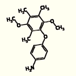 COc1c(C)c(C)c(OC)c(Oc2ccc(N)cc2)c1C